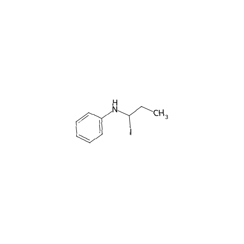 CCC(I)Nc1ccccc1